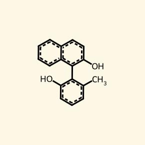 Cc1cccc(O)c1-c1c(O)ccc2ccccc12